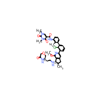 COc1nc(-c2cccc(-c3cccc(NC(=O)c4cn(C)c(=O)n(C)c4=O)c3C)c2Cl)cc2c1[C@@H](NCC[C@@H]1COCC(=O)N1)[C@H](C)C2